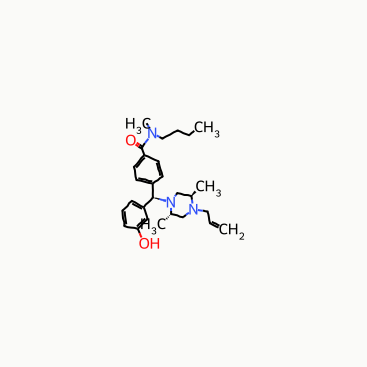 C=CCN1C[C@H](C)N([C@H](c2ccc(C(=O)N(C)CCCC)cc2)c2cccc(O)c2)C[C@H]1C